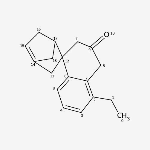 CCc1cccc2c1CC(=O)CC21CC2=CCC1C2